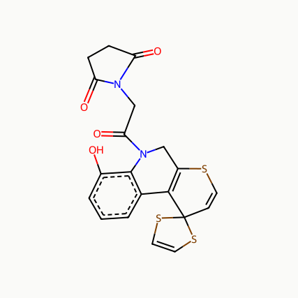 O=C1CCC(=O)N1CC(=O)N1CC2=C(c3cccc(O)c31)C1(C=CS2)SC=CS1